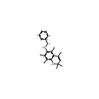 CC1=CC(C)(C)Oc2c(C)c(C)c(OCc3ccccc3)c(C)c21